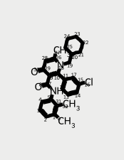 Cc1cccc(NC(=O)c2c(-c3cccc(Cl)c3)n(CC3CCCCC3)c(C)cc2=O)c1C